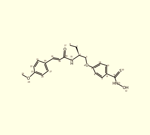 CC[C@@H](COc1ccc(C(=S)NO)cc1)NC(=O)/C=C/c1ccc(OC)cc1